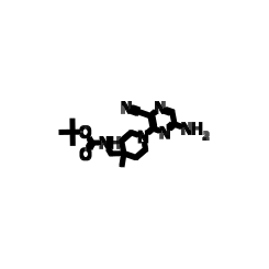 CC1(CNC(=O)OC(C)(C)C)CCN(c2nc(N)cnc2C#N)CC1